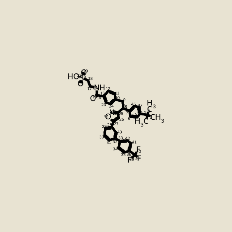 CC(C)(C)c1ccc(C(Cc2ccc(C(=O)NCCS(=O)(=O)O)cc2)c2cc(-c3cccc(-c4ccc(C(F)(F)F)cc4)c3)on2)cc1